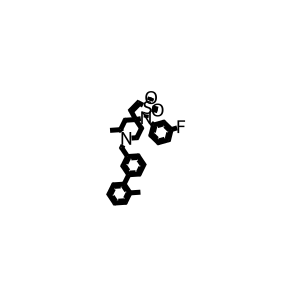 Cc1ccccc1-c1cccc(CN2CCC3(C=CS(=O)(=O)N3c3cccc(F)c3)CC2C)c1